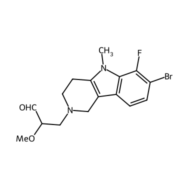 COC(C=O)CN1CCc2c(c3ccc(Br)c(F)c3n2C)C1